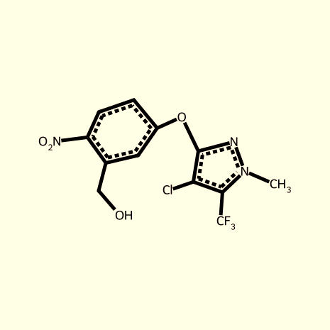 Cn1nc(Oc2ccc([N+](=O)[O-])c(CO)c2)c(Cl)c1C(F)(F)F